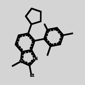 CCc1nc2c(-c3c(C)cc(C)cc3C)c(C3CCCC3)ccc2n1C